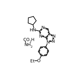 CCOc1ccc(-n2nnc3cnc(NC4CCCC4)nc32)cc1.NC(=O)O